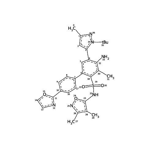 Cc1cc(-c2cc(-c3ccc(-c4ncco4)cc3)c(S(=O)(=O)Nc3onc(C)c3C)c(C)c2N)n(C(C)(C)C)n1